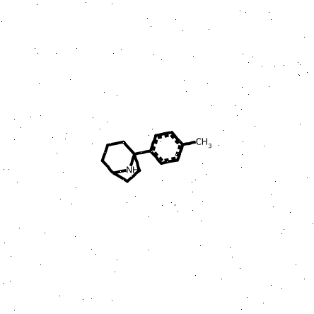 Cc1ccc(C23CCCC(CC2)N3)cc1